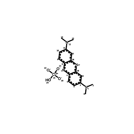 CN(C)c1ccc2nc3ccc(N(C)C)cc3nc2c1.[O-][Cl+3]([O-])([O-])O